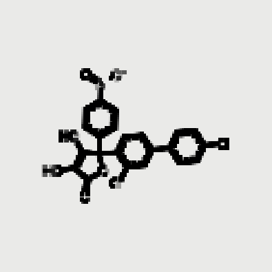 O=C1OC(c2ccc([N+](=O)[O-])cc2)(c2ccc(-c3ccc(Cl)cc3)cc2Cl)C(O)=C1O